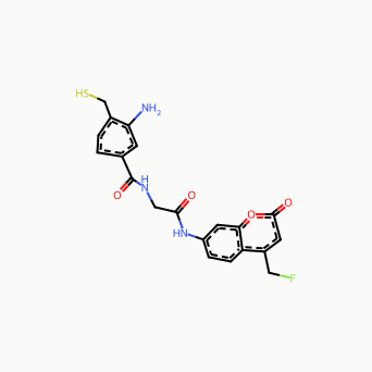 Nc1cc(C(=O)NCC(=O)Nc2ccc3c(CF)cc(=O)oc3c2)ccc1CS